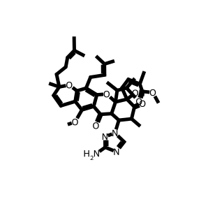 COC(=O)/C(C)=C\CC1(O)C(=O)C(C)C(n2cnc(N)n2)C2C(=O)c3c(OC)c4c(c(CC=C(C)C)c3OC21C(C)C(C)C)OC(C)(CCC=C(C)C)C=C4